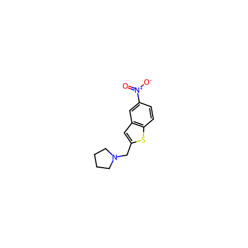 O=[N+]([O-])c1ccc2sc(CN3CCCC3)cc2c1